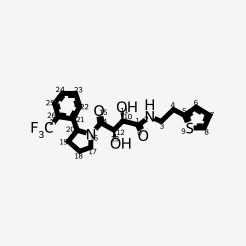 O=C(NCCc1cccs1)[C@H](O)[C@@H](O)C(=O)N1CCCC1c1ccccc1C(F)(F)F